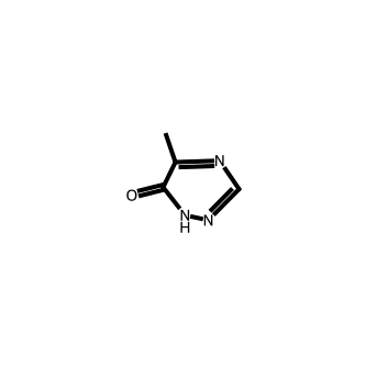 Cc1ncn[nH]c1=O